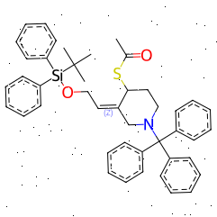 CC(=O)SC1CCN(C(c2ccccc2)(c2ccccc2)c2ccccc2)C/C1=C/CO[Si](c1ccccc1)(c1ccccc1)C(C)(C)C